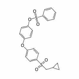 O=S(=O)(CC1CC1)c1ccc(Oc2ccc(OS(=O)(=O)c3ccccc3)cc2)cc1